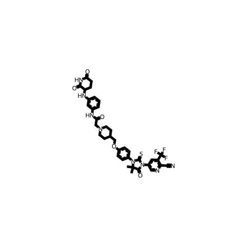 CC1(C)C(=O)N(c2cnc(C#N)c(C(F)(F)F)c2)C(=S)N1c1ccc(OCC2CCN(CC(=O)Nc3cccc(NC4CCC(=O)NC4=O)c3)CC2)cc1